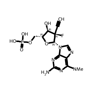 C#C[C@@]1(F)[C@H](O)[C@@H](COP(=O)(O)O)O[C@H]1n1cnc2c(NC)nc(N)nc21